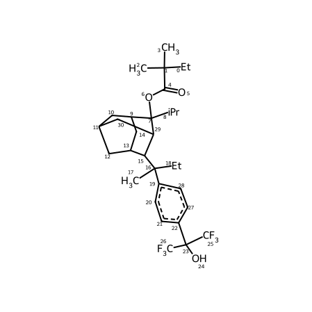 CCC(C)(C)C(=O)OC1(C(C)C)C2CC3CC(C2)C(C(C)(CC)c2ccc(C(O)(C(F)(F)F)C(F)(F)F)cc2)C1C3